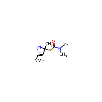 CN/C=C/C(C)(N)SC(=O)N(C)C(C)C